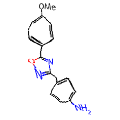 COc1ccc(-c2nc(-c3ccc(N)cc3)no2)cc1